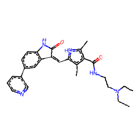 CCN(CC)CCNC(=O)c1c(C)[nH]c(/C=C2\C(=O)Nc3ccc(-c4cccnc4)cc32)c1C